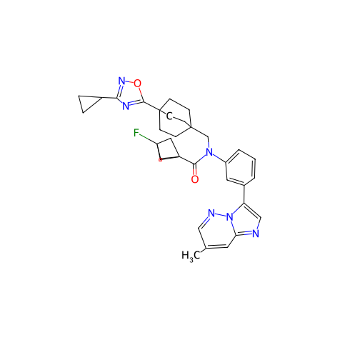 Cc1cnn2c(-c3cccc(N(CC45CCC(c6nc(C7CC7)no6)(CC4)CC5)C(=O)C45CC(F)(C4)C5)c3)cnc2c1